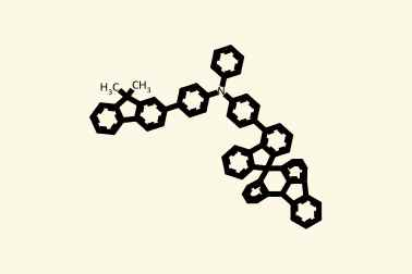 CC1(C)c2ccccc2-c2ccc(-c3ccc(N(c4ccccc4)c4ccc(-c5cccc6c5-c5ccccc5C65c6ccccc6C6c7ccccc7-c7cccc5c76)cc4)cc3)cc21